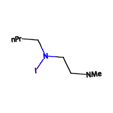 CCCCN(I)CCNC